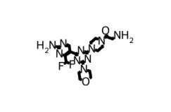 NCC(=O)N1CCN(c2nc(-c3cnc(N)nc3C(F)F)nc(N3CCOCC3)n2)CC1